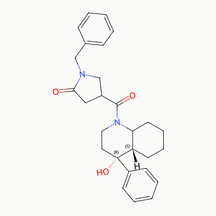 O=C1CC(C(=O)N2CC[C@](O)(c3ccccc3)[C@H]3CCCCC32)CN1Cc1ccccc1